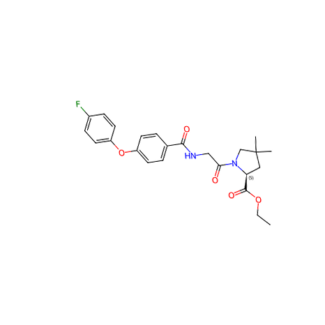 CCOC(=O)[C@@H]1CC(C)(C)CN1C(=O)CNC(=O)c1ccc(Oc2ccc(F)cc2)cc1